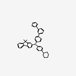 CC1(C)c2ccccc2-c2ccc(N(c3ccc(-c4cccc(-c5ccccc5)c4)cc3)c3ccc(C4CCCCC4)cc3)cc21